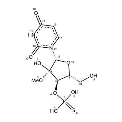 CO[C@@]1(O)[C@H](OP(O)(O)=S)[C@@H](CO)O[C@H]1n1ccc(=O)[nH]c1=O